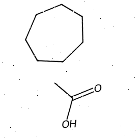 C1CCCCCC1.CC(=O)O